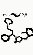 O=C(O)/C=C/C(=O)O.O=C1OC(Cc2ccccc2Br)CN1C(CCN1CCCC1)c1ccccc1